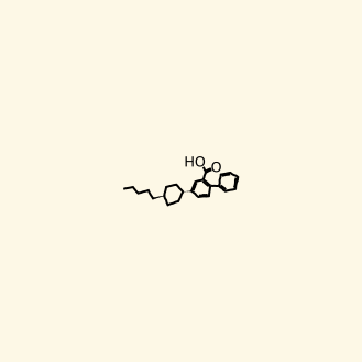 CCCCC[C@H]1CC[C@H](c2ccc(-c3ccccc3)c(C(=O)O)c2)CC1